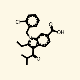 CCc1c(C(=O)C(C)C)c2ccc(C(=O)O)cc2n1Cc1ccccc1Cl